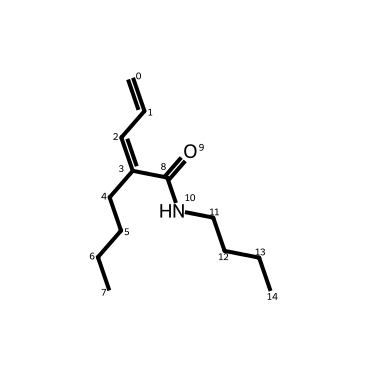 C=CC=C(CCCC)C(=O)NCCCC